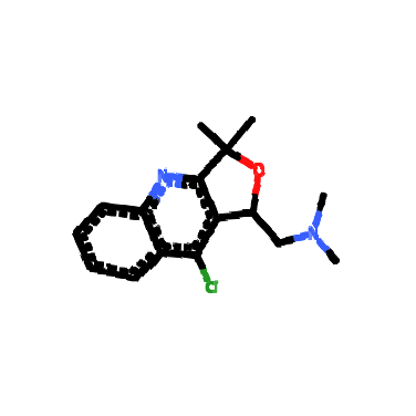 CN(C)CC1OC(C)(C)c2nc3ccccc3c(Cl)c21